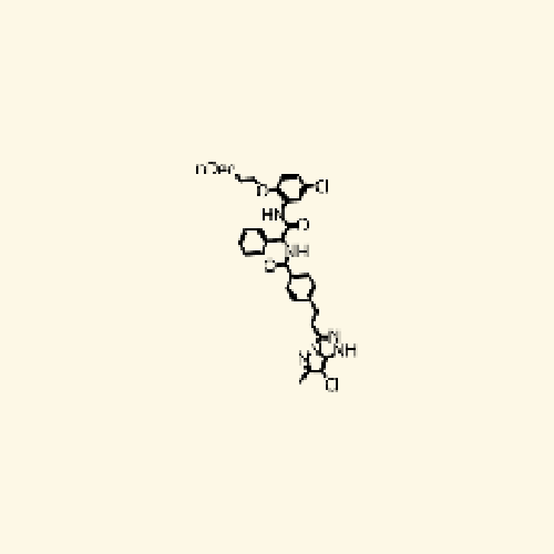 CCCCCCCCCCCCOc1ccc(Cl)cc1NC(=O)C(NC(=O)c1ccc(CCc2n[nH]c3c(Cl)c(C)nn23)cc1)c1ccccc1